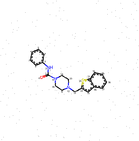 O=C(Nc1ccccc1)N1CCN(Cc2cc3ccccc3s2)CC1